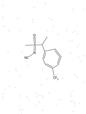 CC(C1=CC=C(C(F)(F)F)C=C=C1)S(C)(=O)=NC#N